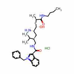 CCCCNC(=O)[C@H](C)C[C@H](O)[C@@H](N)C[C@@H](CNC(=O)c1cn(Cc2ccccc2)c2ccccc12)C(C)C.Cl